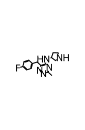 Cc1nnc([C@@H](C)c2ccc(F)cc2)c(N[C@@H]2CCNC2)n1